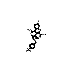 Cc1nn(Cc2ccc(C(F)(F)F)cc2)c(C)c1-c1c(C(N)=O)nc2cc(F)ccc2c1C(N)=O